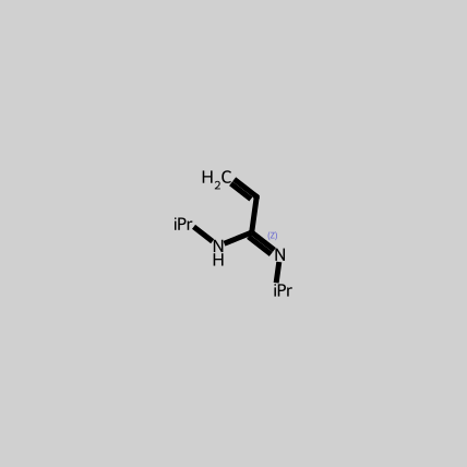 C=C/C(=N/C(C)C)NC(C)C